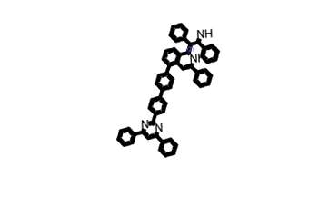 N=C(/C(=C1\NC(c2ccccc2)=Cc2c1cccc2-c1ccc(-c2ccc(-c3nc(-c4ccccc4)cc(-c4ccccc4)n3)cc2)cc1)c1ccccc1)c1ccccc1